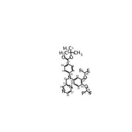 CC(C)(C)OC(=O)c1ccc(N(Cc2cnccn2)c2ccc(OC(F)F)c(OC(F)F)c2)cc1